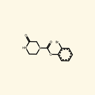 O=C1CN(C(=O)Oc2ccccc2Br)CCN1